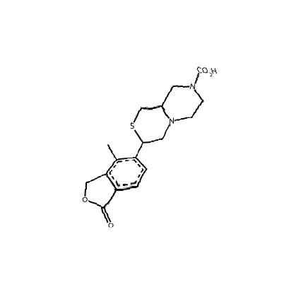 Cc1c(C2CN3CCN(C(=O)O)CC3CS2)ccc2c1COC2=O